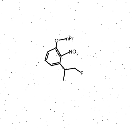 [CH2]C(CF)c1cccc(OCCC)c1[N+](=O)[O-]